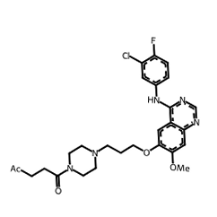 COc1cc2ncnc(Nc3ccc(F)c(Cl)c3)c2cc1OCCCN1CCN(C(=O)CCC(C)=O)CC1